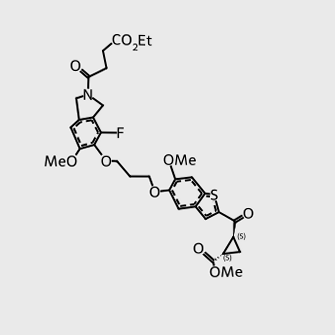 CCOC(=O)CCC(=O)N1Cc2cc(OC)c(OCCCOc3cc4cc(C(=O)[C@H]5C[C@@H]5C(=O)OC)sc4cc3OC)c(F)c2C1